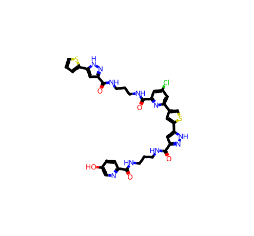 O=C(NCCCNC(=O)c1cc(-c2cc(-c3cc(Cl)cc(C(=O)NCCCNC(=O)c4cc(-c5cccs5)[nH]n4)n3)cs2)[nH]n1)c1ccc(O)cn1